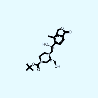 Cc1c([C@@H](O)CN2CCN(C(=O)OC(C)(C)C)C[C@H]2CO)ccc2c1COC2=O